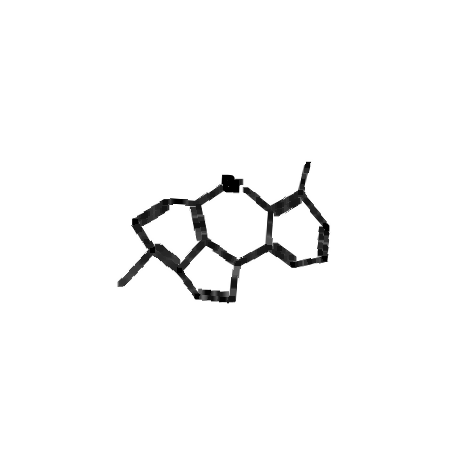 Cc1cccc(C2C=Cc3c(C)ccc(Br)c32)c1C